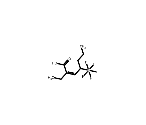 CCCC(C=C(CC)C(=O)O)S(F)(F)(F)(F)F